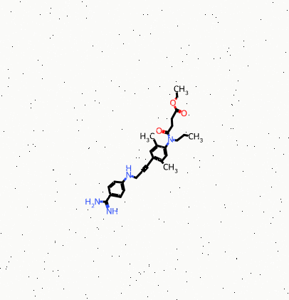 CCCN(C(=O)CCC(=O)OCC)c1cc(C)c(C#CCNc2ccc(C(=N)N)cc2)cc1C